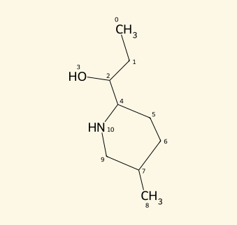 CCC(O)C1CCC(C)CN1